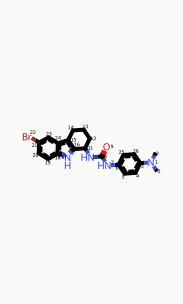 CN(C)c1ccc(NC(=O)NC2CCCc3c2[nH]c2ccc(Br)cc32)cc1